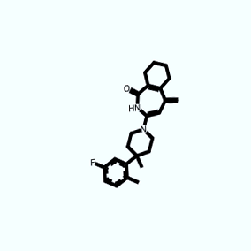 C=C1C=C(N2CCC(C)(c3cc(F)ccc3C)CC2)NC(=O)C2=C1CCCC2